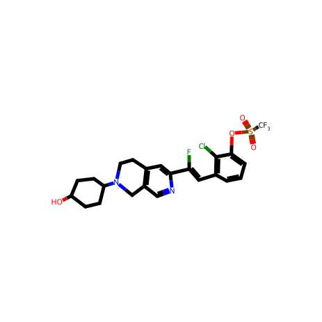 O=S(=O)(Oc1cccc(/C=C(\F)c2cc3c(cn2)CN(C2CCC(O)CC2)CC3)c1Cl)C(F)(F)F